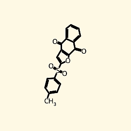 Cc1ccc(S(=O)(=O)c2cc3c(o2)C(=O)c2ccccc2C3=O)cc1